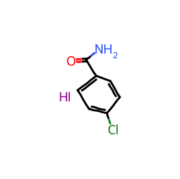 I.NC(=O)c1ccc(Cl)cc1